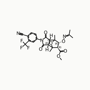 COC(=O)[C@@H]1[C@@H](ON=C(C)C)C2(C)OC1(C)[C@@H]1C(=O)N(c3ccc(C#N)c(C(F)(F)F)c3)C(=O)[C@@H]12